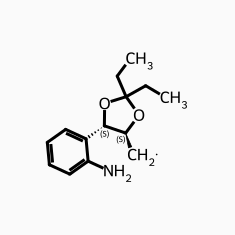 [CH2][C@@H]1OC(CC)(CC)O[C@H]1c1ccccc1N